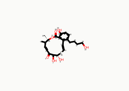 CC1/C=C\C(=O)C(O)[C@@H](O)C/C=C/c2c(CCCCO)ccc(O)c2C(=O)O[C@H]1C